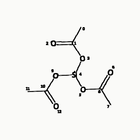 CC(=O)O[Si](OC(C)=O)OC(C)=O